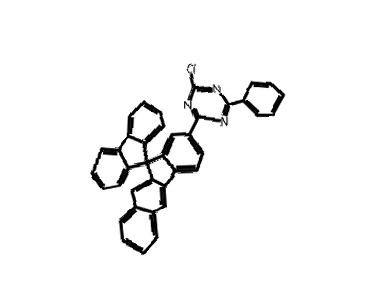 Clc1nc(-c2ccccc2)nc(-c2ccc3c(c2)C2(c4ccccc4-c4ccccc42)c2cc4ccccc4cc2-3)n1